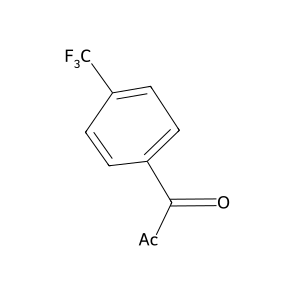 CC(=O)C(=O)c1ccc(C(F)(F)F)cc1